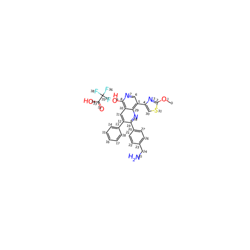 COc1nc(-c2cnc(O)c3cc(-c4ccccc4)c(-c4ccc(CN)cc4)nc23)cs1.O=C(O)C(F)(F)F